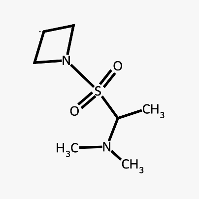 CC(N(C)C)S(=O)(=O)N1C[CH]C1